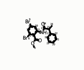 COC(=O)c1c(Br)cc(Br)cc1NC(=O)C(C)c1ccccc1